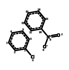 Clc1ccccc1.O=[N+]([O-])c1ccccc1